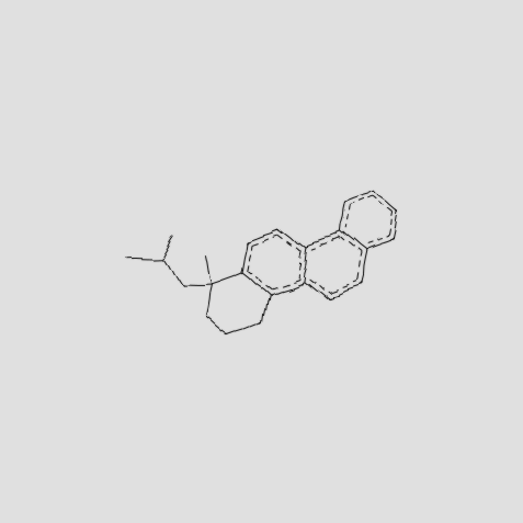 CC(C)CC1(C)CCCc2c1ccc1c2ccc2ccccc21